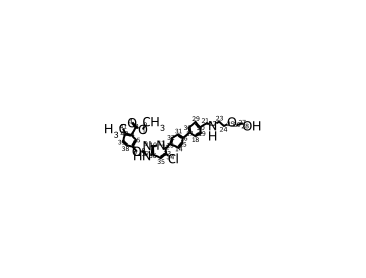 COC(=O)c1cc(Oc2nc3nc(-c4ccc(-c5ccc(CNCCOCCO)cc5)cc4)c(Cl)cc3[nH]2)ccc1C